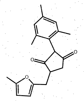 Cc1cc(C)c(C2C(=O)CC(Cc3ccc(C)o3)C2=O)c(C)c1